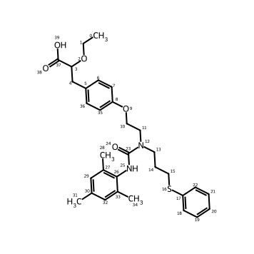 CCOC(Cc1ccc(OCCN(CCCSc2ccccc2)C(=O)Nc2c(C)cc(C)cc2C)cc1)C(=O)O